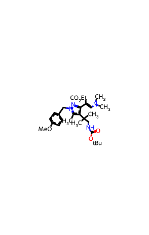 CCOC(=O)/C(=C\N(C)C)c1nn(Cc2ccc(OC)cc2)c(C)c1C(C)(C)CNC(=O)OC(C)(C)C